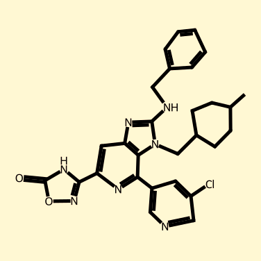 CC1CCC(Cn2c(NCc3ccccc3)nc3cc(-c4noc(=O)[nH]4)nc(-c4cncc(Cl)c4)c32)CC1